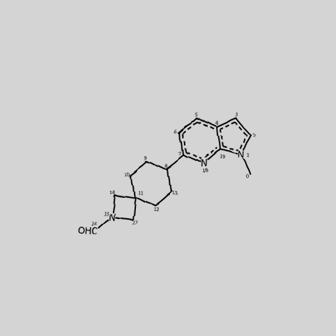 Cn1ccc2ccc(C3CCC4(CC3)CN(C=O)C4)nc21